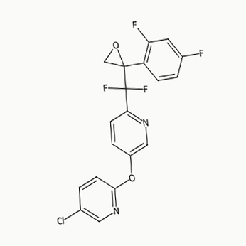 Fc1ccc(C2(C(F)(F)c3ccc(Oc4ccc(Cl)cn4)cn3)CO2)c(F)c1